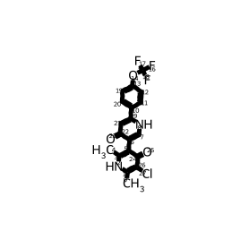 Cc1[nH]c(C)c(-c2c[nH]c(-c3ccc(OC(F)(F)F)cc3)cc2=O)c(=O)c1Cl